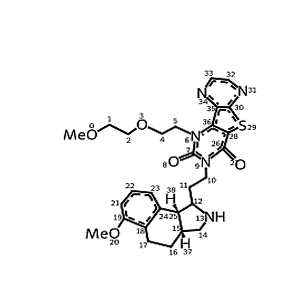 COCCOCCn1c(=O)n(CCC2NC[C@@H]3CCc4c(OC)cccc4[C@H]23)c(=O)c2sc3nccnc3c21